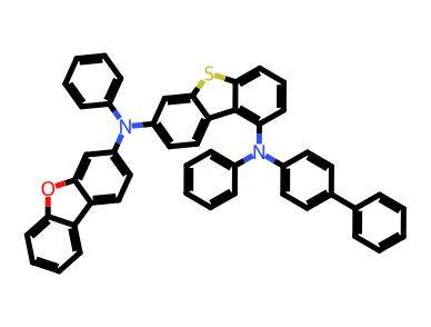 c1ccc(-c2ccc(N(c3ccccc3)c3cccc4sc5cc(N(c6ccccc6)c6ccc7c(c6)oc6ccccc67)ccc5c34)cc2)cc1